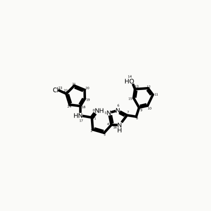 N=C(/C=C\c1nnc(Cc2cccc(O)c2)[nH]1)Nc1cccc(Cl)c1